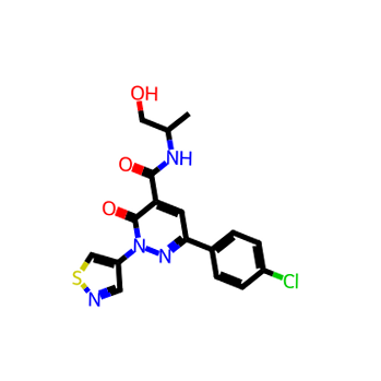 CC(CO)NC(=O)c1cc(-c2ccc(Cl)cc2)nn(-c2cnsc2)c1=O